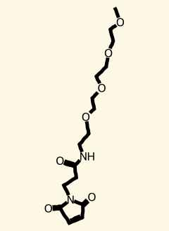 COCCOCCOCCOCCNC(=O)CCN1C(=O)C=CC1=O